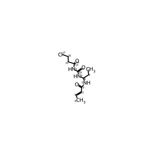 CC=CC(=O)NC(CC)NC(=O)NC(=O)CCCl